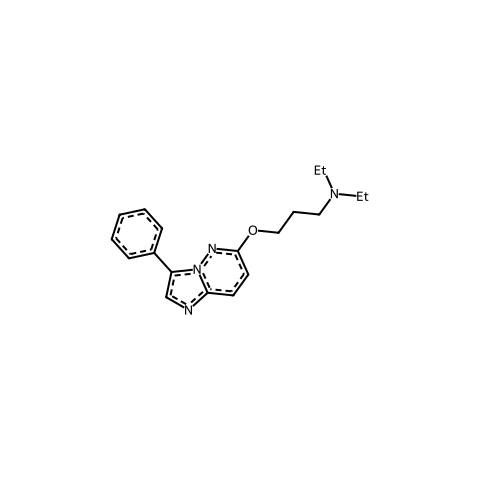 CCN(CC)CCCOc1ccc2ncc(-c3ccccc3)n2n1